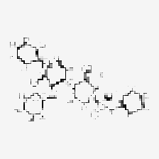 CC1CN(S(=O)(=O)Cc2ccccc2)CCN1c1cnn(-c2ccccc2)c(=O)c1OC1CCCCC1